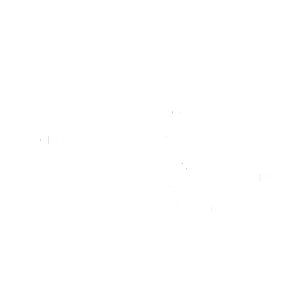 O=C(O)CN1C(=O)C(c2cccc(Cl)c2)SC1=S